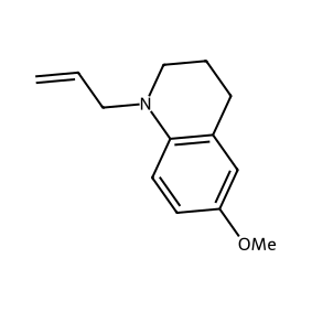 C=CCN1CCCc2cc(OC)ccc21